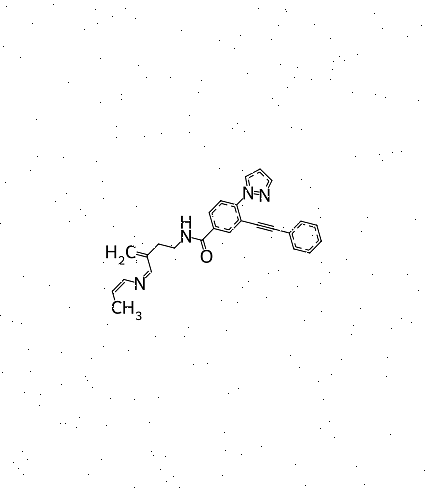 C=C(/C=N\C=C/C)CCNC(=O)c1ccc(-n2cccn2)c(C#Cc2ccccc2)c1